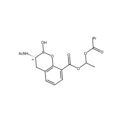 CC(=O)N[C@H]1Cc2cccc(C(=O)OC(C)OC(=O)C(C)C)c2OB1O